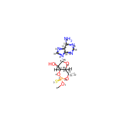 COP1(=S)O[C@H]2[C@@H](O)[C@H](n3cnc4c(N)ncnc43)O[C@@H]2[C@H](C)O1